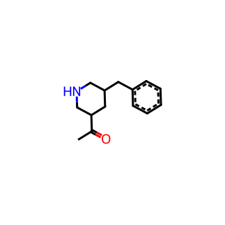 CC(=O)C1CNCC(Cc2ccccc2)C1